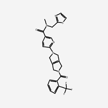 CN(Cc1nccs1)C(=O)c1ccc(N2CC3=C(CN(C(=O)c4ccccc4C(F)(F)F)C3)C2)nc1